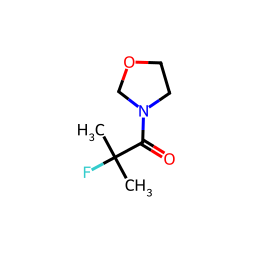 CC(C)(F)C(=O)N1CCOC1